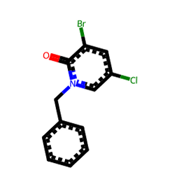 O=c1c(Br)cc(Cl)cn1Cc1ccccc1